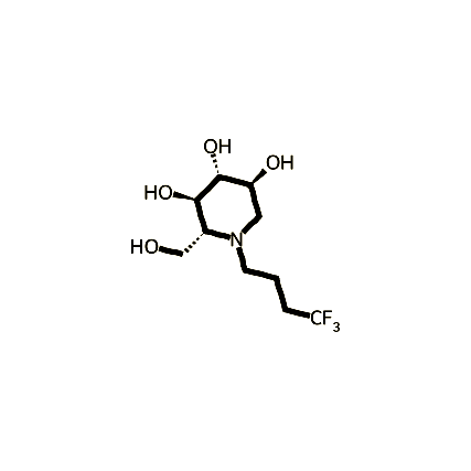 OC[C@@H]1[C@@H](O)[C@H](O)[C@@H](O)CN1CCCC(F)(F)F